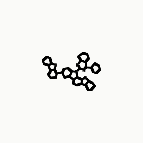 c1ccc(-c2nc(-n3c4ccc(-c5cccc6c5sc5ccccc56)cc4c4ccc5c6ccccc6sc5c43)nc3ccccc23)cc1